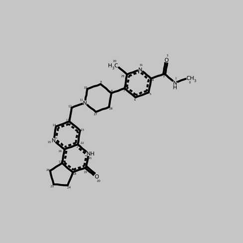 CNC(=O)c1ccc(C2CCN(Cc3cnc4c5c(c(=O)[nH]c4c3)CCC5)CC2)c(C)n1